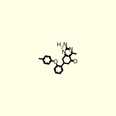 Cc1ccc(Oc2ccccc2C2CC(=O)c3c(C)nc(N)nc3C2)cc1